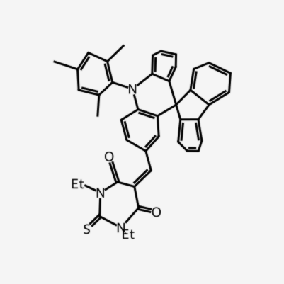 CCN1C(=O)C(=Cc2ccc3c(c2)C2(c4ccccc4-c4ccccc42)c2ccccc2N3c2c(C)cc(C)cc2C)C(=O)N(CC)C1=S